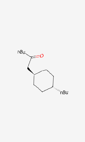 CCCCC(=O)C[C@H]1CC[C@H](CCCC)CC1